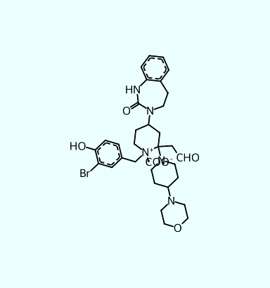 O=CCC1(N2CCC(N3CCOCC3)CC2)CC(N2CCc3ccccc3NC2=O)CC[N@+]1(Cc1ccc(O)c(Br)c1)C(=O)[O-]